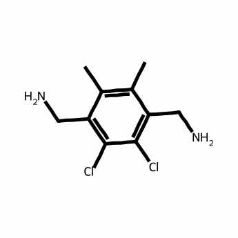 Cc1c(C)c(CN)c(Cl)c(Cl)c1CN